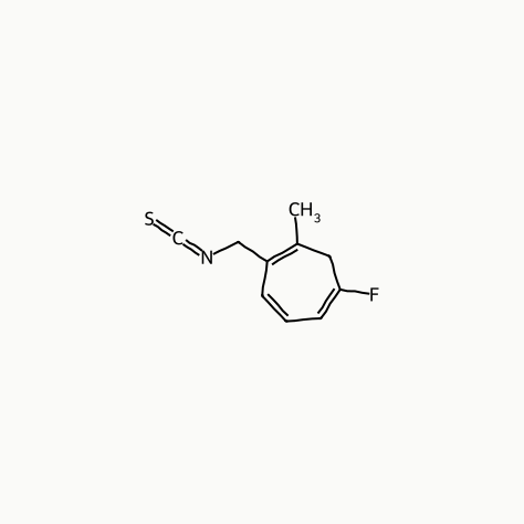 CC1=C(CN=C=S)C=CC=C(F)C1